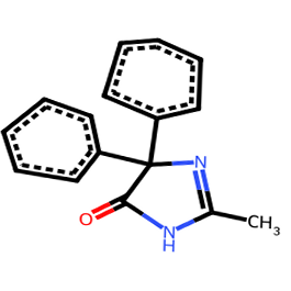 CC1=NC(c2ccccc2)(c2ccccc2)C(=O)N1